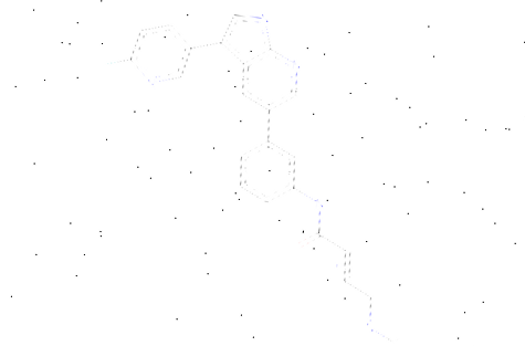 CNC/C=C/C(=O)Nc1cccc(-c2cnc3[nH]cc(-c4ccc(F)nc4)c3c2)c1